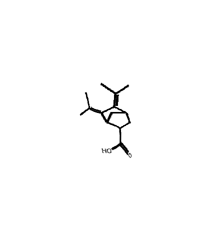 CC(C)=C1C(=C(C)C)C2CC1CC2C(=O)O